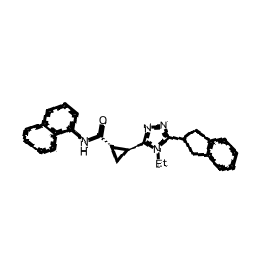 CCn1c(C2Cc3ccccc3C2)nnc1[C@H]1C[C@@H]1C(=O)Nc1cccc2ccccc12